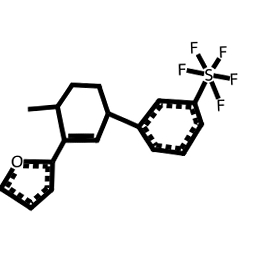 CC1CCC(c2cccc(S(F)(F)(F)(F)F)c2)C=C1c1ccco1